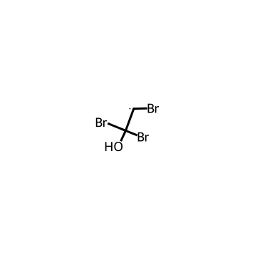 OC(Br)(Br)[CH]Br